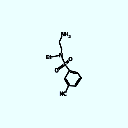 CCN(CCN)S(=O)(=O)c1cccc(C#N)c1